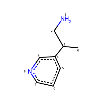 CC(CN)c1cccnc1